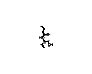 CCCC(=O)N[C@@H](CC)CO